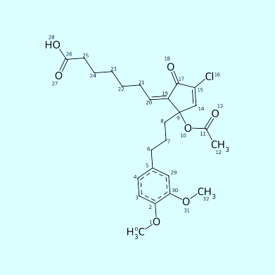 COc1ccc(CCCC2(OC(C)=O)C=C(Cl)C(=O)C2=CCCCCCC(=O)O)cc1OC